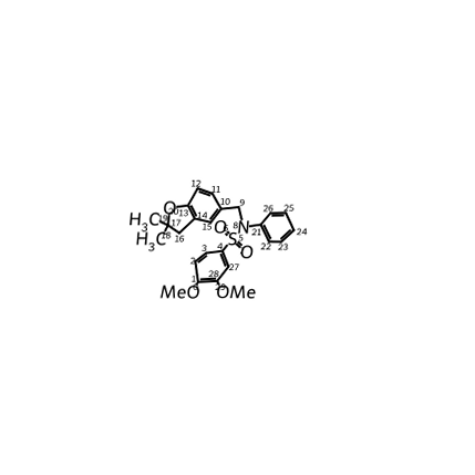 COc1ccc(S(=O)(=O)N(Cc2ccc3c(c2)CC(C)(C)O3)c2ccccc2)cc1OC